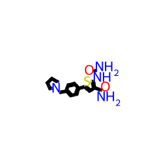 NC(=O)Nc1sc(-c2ccc(CN3CCCC3)cc2)cc1C(N)=O